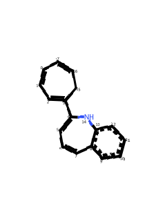 C1=CC=C(C2=CC=Cc3ccccc3N2)CC=C1